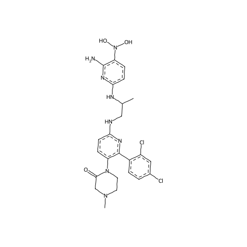 CC(CNc1ccc(N2CCN(C)CC2=O)c(-c2ccc(Cl)cc2Cl)n1)Nc1ccc(N(O)O)c(N)n1